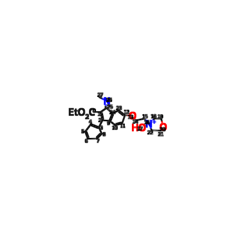 CCOC(=O)C1=C(c2ccccc2)c2ccc(OCC[N+]3(O)CCOCC3)cc2/C1=N/C